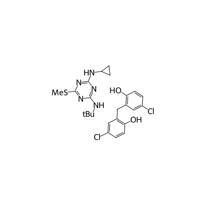 CSc1nc(NC2CC2)nc(NC(C)(C)C)n1.Oc1ccc(Cl)cc1Cc1cc(Cl)ccc1O